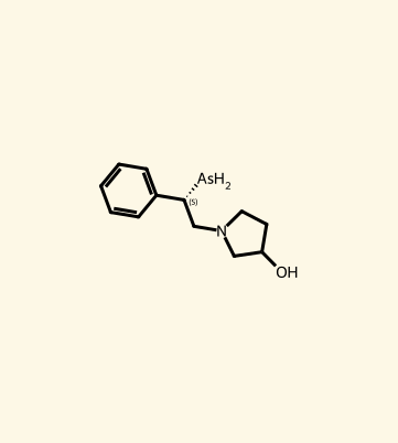 OC1CCN(C[C@@H]([AsH2])c2ccccc2)C1